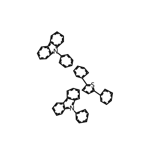 c1ccc(-c2ccc(-c3ccccc3)s2)cc1.c1ccc(-n2c3ccccc3c3ccccc32)cc1.c1ccc(-n2c3ccccc3c3ccccc32)cc1